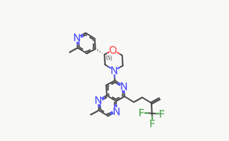 C=C(CCc1nc(N2CCO[C@@H](c3ccnc(C)c3)C2)cc2nc(C)cnc12)C(F)(F)F